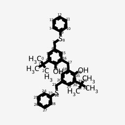 CC(C)(C)c1cc(CSc2ccccc2)cc(Cc2cc(CSc3ccccc3)cc(C(C)(C)C)c2O)c1O